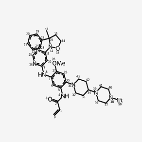 C=CC(=O)Nc1cc(Nc2cc(N3OCCC3(C)c3ccccc3)ncn2)c(OC)cc1N1CCC(N2CCN(CC)CC2)CC1